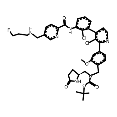 COc1cc(-c2nccc(-c3cccc(NC(=O)c4ccc(CNCCCF)cn4)c3Cl)c2Cl)ccc1CN(C[C@@H]1CCC(=O)N1)C(=O)OC(C)(C)C